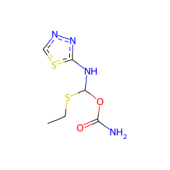 CCSC(Nc1nncs1)OC(N)=O